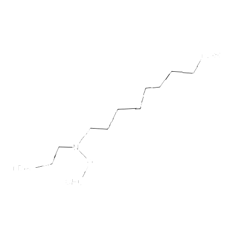 CCCCCCCCCCCCCCCCCCN(CCCCCCCCCCCC)OC=O